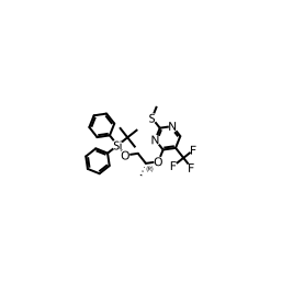 CSc1ncc(C(F)(F)F)c(O[C@H](C)CO[Si](c2ccccc2)(c2ccccc2)C(C)(C)C)n1